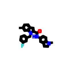 Cc1ccc2cc(C(=O)Nc3ccc4c(ccn4C)c3)n(Cc3cccc(F)c3)c2c1